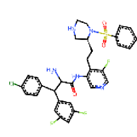 NC(C(=O)Nc1cncc(F)c1CC[C@H]1CNCCN1S(=O)(=O)c1ccccc1)C(c1ccc(Cl)cc1)c1cc(F)cc(F)c1